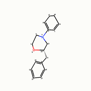 C1=CC(N2CCO[C@@H](Cc3ccccc3)C2)=CCC1